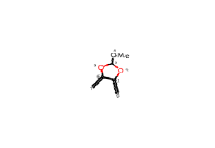 C=C1OC(OC)OC1=C